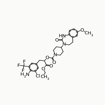 CCOC(=O)C(Cc1cc(Cl)c(N)c(C(F)(F)F)c1)OC(=O)N1CCC(N2CCc3cc(OC)ccc3NC2=O)CC1